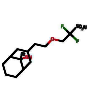 CCC1(O)C2CCCC1CC(CCOCC(F)(F)S(=O)(=O)O)C2